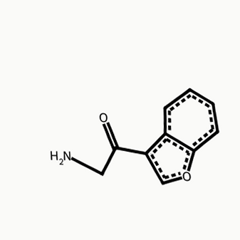 NCC(=O)c1coc2ccccc12